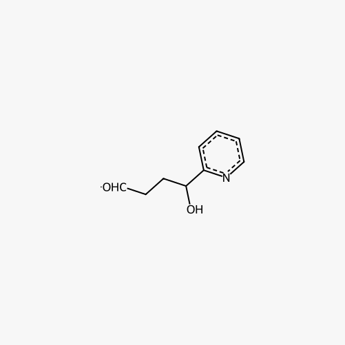 O=[C]CCC(O)c1ccccn1